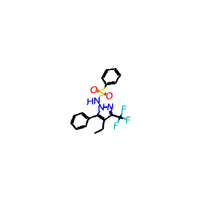 CCc1c(C(F)(F)F)nn(NS(=O)(=O)c2ccccc2)c1-c1ccccc1